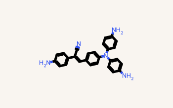 N#CC(=Cc1ccc(N(c2ccc(N)cc2)c2ccc(N)cc2)cc1)c1ccc(N)cc1